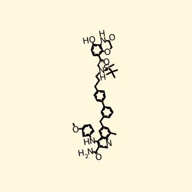 COc1cccc(Nc2c(C(N)=O)cnc3c(C)cc(Cc4cccc(-c5ccc(CCCNC[C@H](O[Si](C)(C)C(C)(C)C)c6ccc(O)c7c6OCC(=O)N7)cc5)c4)cc23)c1